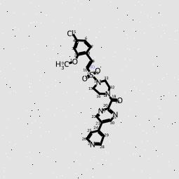 COc1cc(Cl)ccc1/C=C/S(=O)(=O)N1CCN(C(=O)c2ncc(-c3ccncc3)cn2)CC1